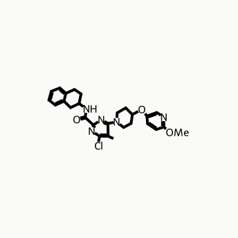 COc1ccc(OC2CCN(c3nc(C(=O)NC4CCc5ccccc5C4)nc(Cl)c3C)CC2)cn1